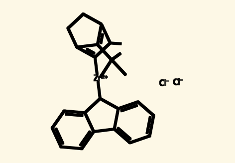 CC1C2=C(C(C)(C)C)C(=[C]1[Zr+2][CH]1c3ccccc3-c3ccccc31)CC2.[Cl-].[Cl-]